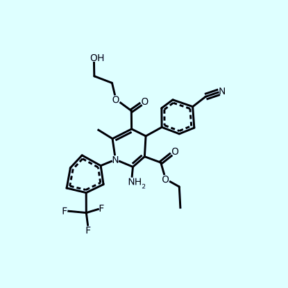 CCOC(=O)C1=C(N)N(c2cccc(C(F)(F)F)c2)C(C)=C(C(=O)OCCO)C1c1ccc(C#N)cc1